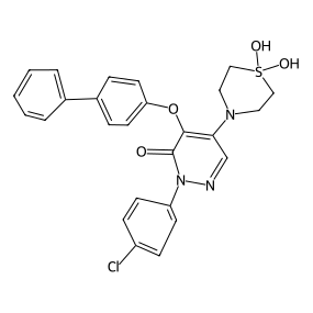 O=c1c(Oc2ccc(-c3ccccc3)cc2)c(N2CCS(O)(O)CC2)cnn1-c1ccc(Cl)cc1